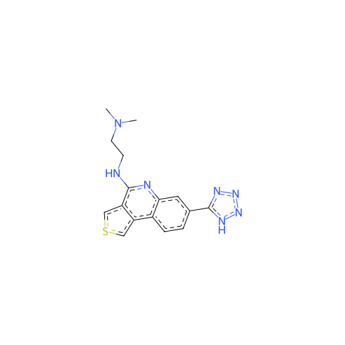 CN(C)CCNc1nc2cc(-c3nnn[nH]3)ccc2c2cscc12